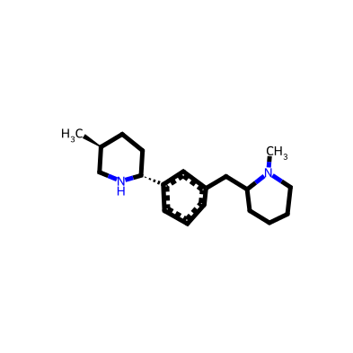 C[C@H]1CC[C@H](c2cccc(CC3CCCCN3C)c2)NC1